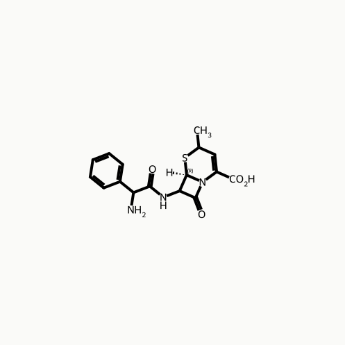 CC1C=C(C(=O)O)N2C(=O)C(NC(=O)C(N)c3ccccc3)[C@H]2S1